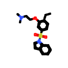 CCc1ccc(S(=O)(=O)n2ccc3ccccc32)cc1OCCN(C)C